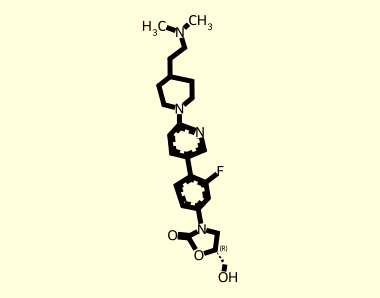 CN(C)CCC1CCN(c2ccc(-c3ccc(N4C[C@H](CO)OC4=O)cc3F)cn2)CC1